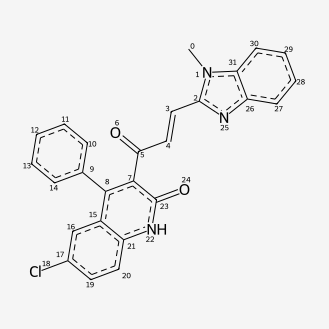 Cn1c(C=CC(=O)c2c(-c3ccccc3)c3cc(Cl)ccc3[nH]c2=O)nc2ccccc21